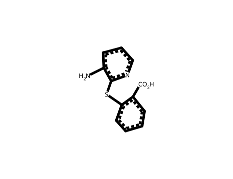 Nc1cccnc1Sc1ccccc1C(=O)O